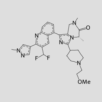 COCCN1CCC(c2nc(-c3cccc4nc(-c5cnn(C)c5)c(C(F)F)cc34)c3n2[C@@H](C)C(=O)N(C)C3)CC1